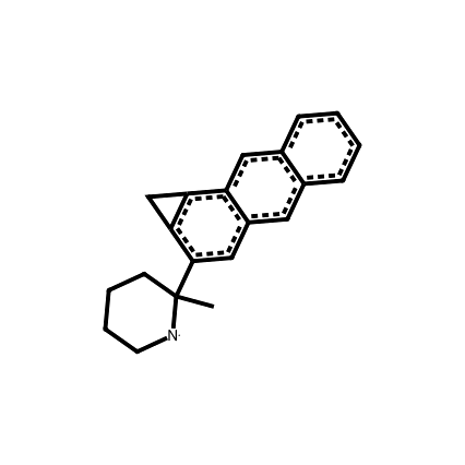 CC1(c2cc3cc4ccccc4cc3c3c2C3)CCCC[N]1